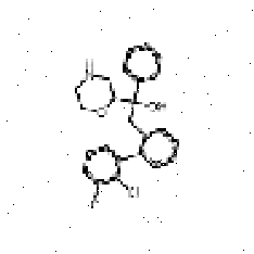 OC(Cc1ccccc1-c1cccc(Cl)c1Cl)(c1ccccc1)C1CNCCO1